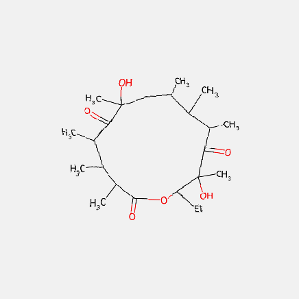 CCC1OC(=O)C(C)C(C)C(C)C(=O)C(C)(O)CC(C)C(C)C(C)C(=O)C1(C)O